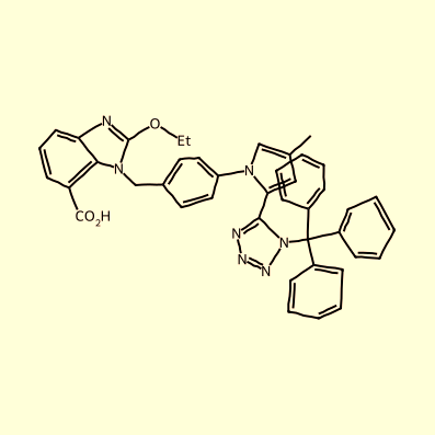 CCOc1nc2cccc(C(=O)O)c2n1Cc1ccc(-n2cc(C)cc2-c2nnnn2C(c2ccccc2)(c2ccccc2)c2ccccc2)cc1